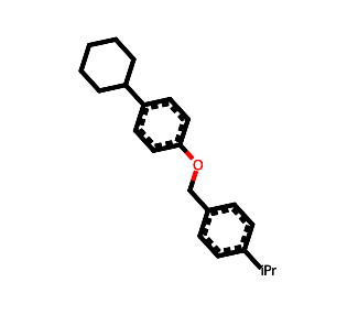 CC(C)c1ccc(COc2ccc(C3CCCCC3)cc2)cc1